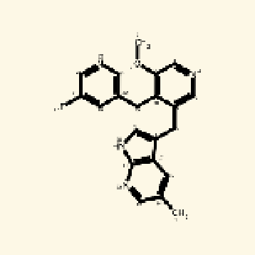 COc1[c]ncc(Cc2c[nH]c3ncc(C)cc23)c1Cc1cncc(F)c1